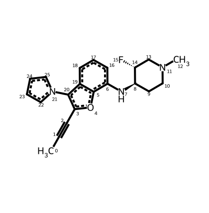 CC#Cc1oc2c(N[C@@H]3CCN(C)C[C@H]3F)cccc2c1-n1cccc1